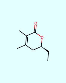 CC[C@H]1CC(C)=C(C)C(=O)O1